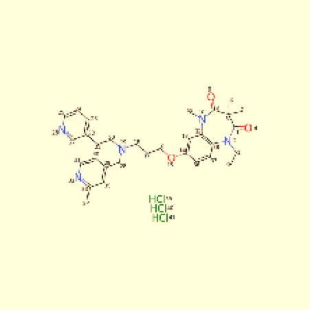 CCN1C(=O)C(C)(C)C(=O)N(C)c2cc(OCCCN(CCc3cccnc3)Cc3ccnc(C)c3)ccc21.Cl.Cl.Cl